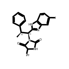 CC(C)C1NC(=O)N([C@H](c2nc3cc(I)ccc3[nH]2)[C@@H](C)c2ccccc2)C1=O